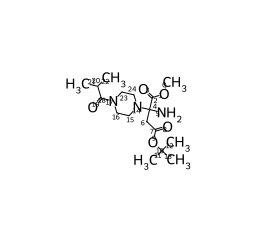 COC(=O)C(N)(CC(=O)OC(C)(C)C)N1CCN(C(=O)C(C)C)CC1